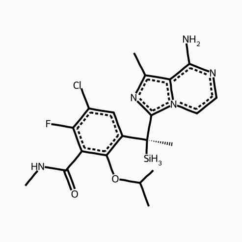 CNC(=O)c1c(F)c(Cl)cc([C@](C)([SiH3])c2nc(C)c3c(N)nccn23)c1OC(C)C